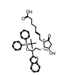 CC(C)(C)[Si](OC(CC[C@H]1[C@H](O)CC(=O)[C@@H]1CC=CCCCC(=O)O)c1cc2ccccc2s1)(c1ccccc1)c1ccccc1